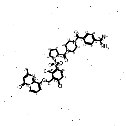 Cc1cc(=O)n2cccc(OCc3c(Cl)ccc(S(=O)(=O)N4CCC[C@H]4C(=O)N4CCN(C(=O)c5ccc(C(=N)N)cc5)CC4)c3Cl)c2n1